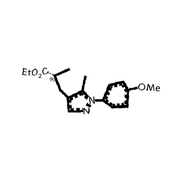 CCOC(=O)[C@H](C)Cc1cnn(-c2ccc(OC)cc2)c1C